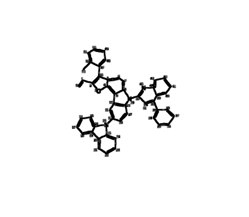 C=Cc1oc2c(ccc3c2c2cc(-n4c5ccccc5c5ccccc54)ccc2n3-c2nc(-c3ccccc3)c3ccccc3n2)c1-c1ccccc1C